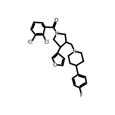 O=C(c1cccc(Cl)c1Cl)N1CC(CN2CCC(c3ccc(F)cc3)CC2)C(c2ccoc2)C1